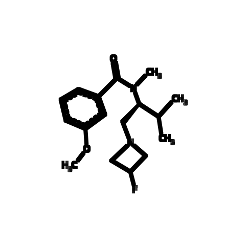 COc1cccc(C(=O)N(C)[C@H](CN2CC(F)C2)C(C)C)c1